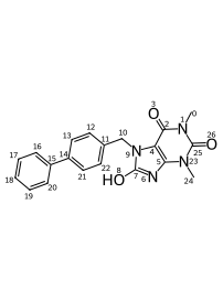 Cn1c(=O)c2c(nc(O)n2Cc2ccc(-c3ccccc3)cc2)n(C)c1=O